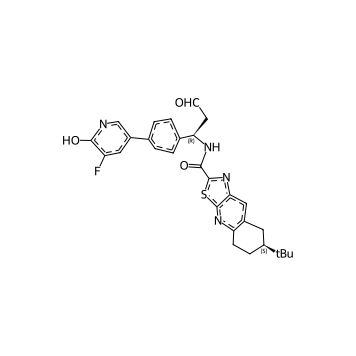 CC(C)(C)[C@H]1CCc2nc3sc(C(=O)N[C@H](CC=O)c4ccc(-c5cnc(O)c(F)c5)cc4)nc3cc2C1